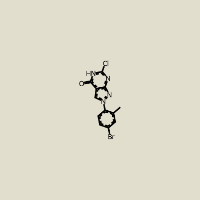 Cc1cc(Br)ccc1-n1cc2c(=O)[nH]c(Cl)nc2n1